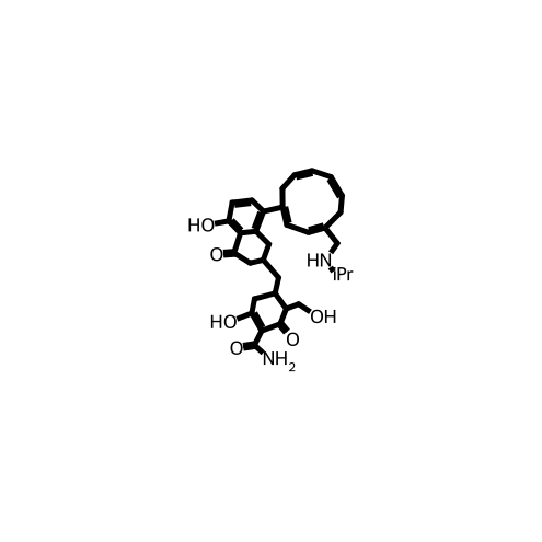 CC(C)NC/C1=C/C=C(/c2ccc(O)c3c2CC(CC2CC(O)=C(C(N)=O)C(=O)C2CO)CC3=O)C/C=C\C=C/C1